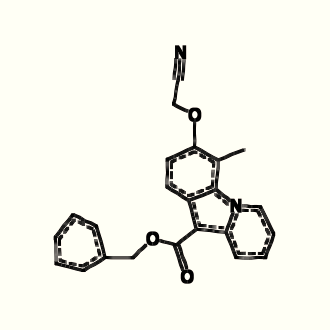 Cc1c(OCC#N)ccc2c(C(=O)OCc3ccccc3)c3ccccn3c12